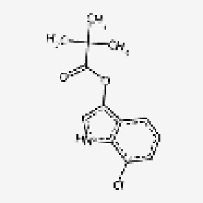 CC(C)(C)C(=O)Oc1c[nH]c2c(Cl)cccc12